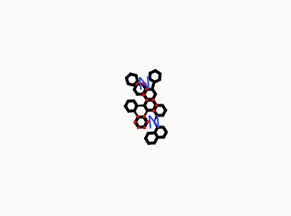 c1ccc(-c2ccccc2-c2c(-c3ccccc3)cccc2-c2ccccc2N(c2cccc(-c3ccc4c(c3)c3ccccc3n4-c3ccccc3)c2)c2cccc3ccccc23)cc1